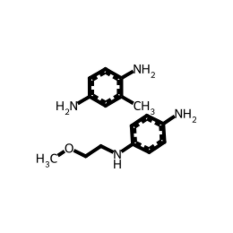 COCCNc1ccc(N)cc1.Cc1cc(N)ccc1N